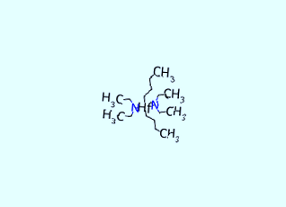 CCC[CH2][Hf]([CH2]CCC)([N](CC)CC)[N](CC)CC